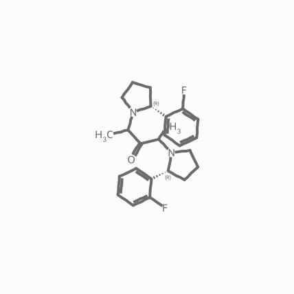 CC(C(=O)C(C)N1CCC[C@@H]1c1ccccc1F)N1CCC[C@@H]1c1ccccc1F